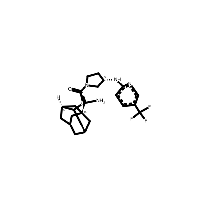 NC(=O)[C@]12CC3CC(C1)C(OC(=O)N1CC[C@H](Nc4ccc(C(F)(F)F)cn4)C1)[C@@H](C3)C2